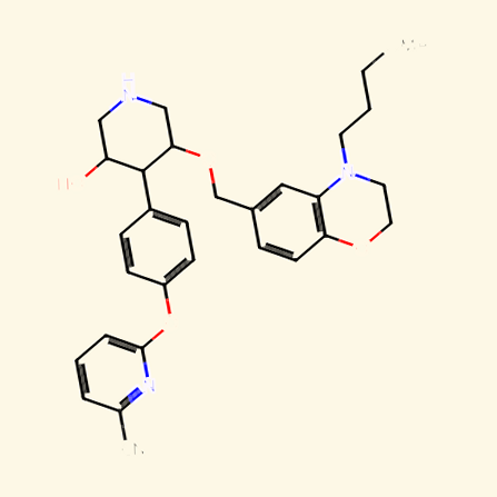 COCCCN1CCOc2ccc(COC3CNCC(O)C3c3ccc(Oc4cccc(C#N)n4)cc3)cc21